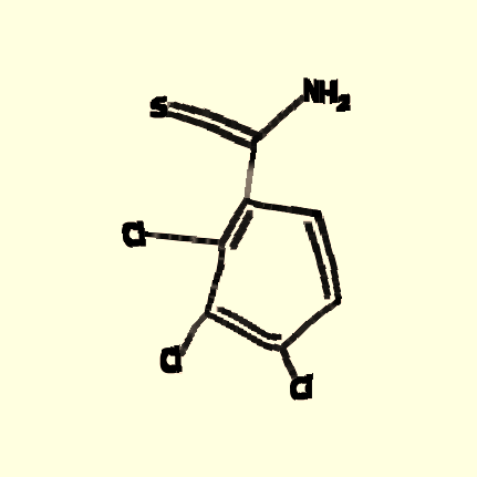 NC(=S)c1ccc(Cl)c(Cl)c1Cl